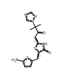 CC(C)(C(=O)/C=c1\[nH]c(=O)/c(=C/c2ccc(N)s2)s1)n1cncn1